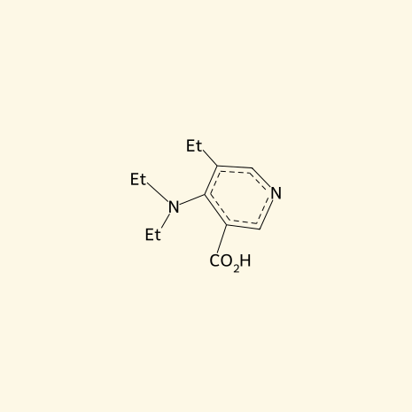 CCc1cncc(C(=O)O)c1N(CC)CC